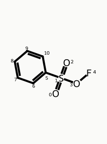 O=S(=O)(OF)c1ccccc1